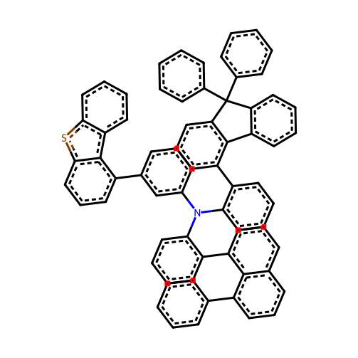 c1ccc(-c2cccc3cccc(-c4ccccc4N(c4cccc(-c5cccc6sc7ccccc7c56)c4)c4ccccc4-c4cccc5c4-c4ccccc4C5(c4ccccc4)c4ccccc4)c23)cc1